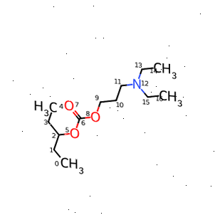 CCC(CC)OC(=O)OCCCN(CC)CC